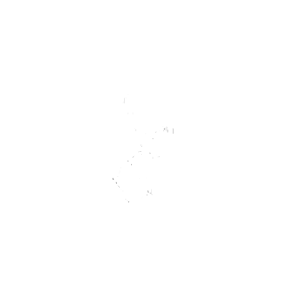 O=P(O)(O)OC(O)[C@H]1O[C@H](n2cnc3ncncc32)[C@H](O)[C@@H]1O